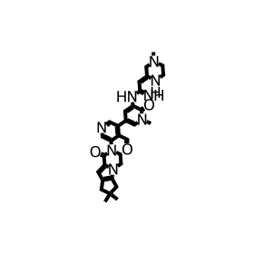 CN1CCN/C(=C\C(=N)Nc2cc(-c3cncc(N4CCn5c(cc6c5CC(C)(C)C6)C4=O)c3C=O)cn(C)c2=O)C1